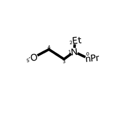 CCCN(CC)CC[O]